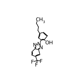 CCCCc1ccc(O)c(-n2nc3ccc(C(F)(F)F)cc3n2)c1